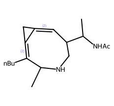 CCCC/C1=C2\C\C2=C\C(C(C)NC(C)=O)CNC1C